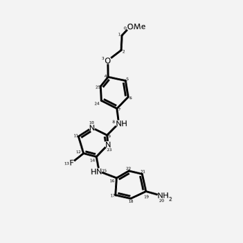 COCCOc1ccc(Nc2ncc(F)c(Nc3ccc(N)cc3)n2)cc1